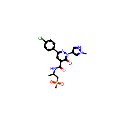 CC(CS(C)(=O)=O)NC(=O)c1cc(-c2ccc(Cl)cc2)nn(-c2cnn(C)c2)c1=O